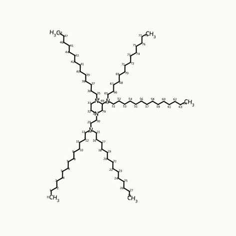 CCCCCCCCCCCCCCN(CCCCCCCCCCCCCC)CCN1CCN(CCCCCCCCCCCCCC)C(N(CCCCCCCCCCCCCC)CCCCCCCCCCCCCC)C1